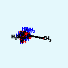 CCCCCCCCCCCCCCCC(=O)N1CCC[C@@H]1C(=O)NCC(=O)N[C@@H](CC(=O)O)C(=O)N[C@@H](CC(C)C)C(=O)N[C@@H](CO)C(=O)N[C@@H](CCCNC(=N)N)C(=O)O